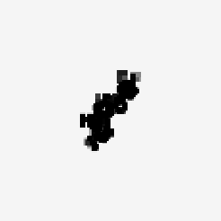 Cc1cc(N(C)C)nc(N[C@H]2CC[C@@H](NC(=O)c3ccc(F)c(F)c3)CC2)n1